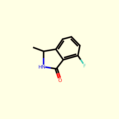 CC1NC(=O)c2c(F)cccc21